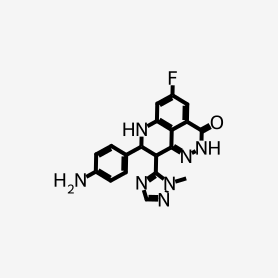 Cn1ncnc1C1c2n[nH]c(=O)c3cc(F)cc(c23)NC1c1ccc(N)cc1